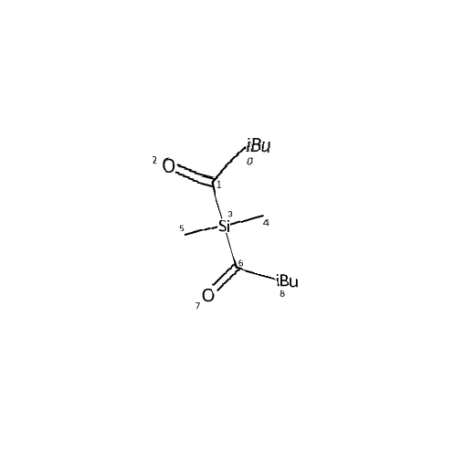 CCC(C)C(=O)[Si](C)(C)C(=O)C(C)CC